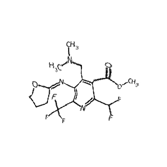 COC(=O)c1c(C(F)F)nc(C(F)(F)F)c(N=C2CCCO2)c1CN(C)C